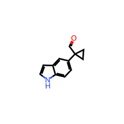 O=CC1(c2ccc3[nH]ccc3c2)CC1